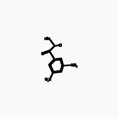 CCCCC(Cl)C(=O)c1cc([N+](=O)[O-])cc([N+](=O)[O-])c1